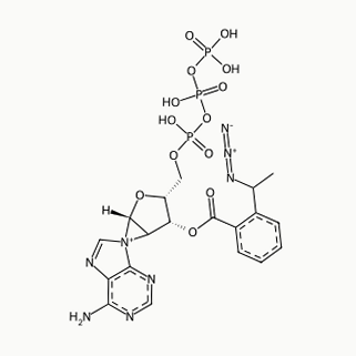 CC(N=[N+]=[N-])c1ccccc1C(=O)O[C@@H]1C2[C@@H](O[C@@H]1COP(=O)(O)OP(=O)(O)OP(=O)(O)O)[N+]21C=Nc2c(N)ncnc21